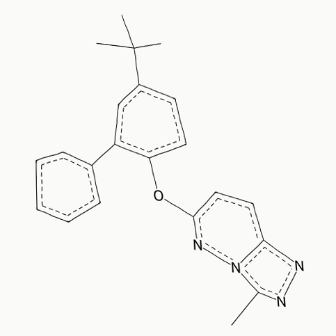 Cc1nnc2ccc(Oc3ccc(C(C)(C)C)cc3-c3ccccc3)nn12